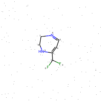 FC(F)C1=CC=NCCN1